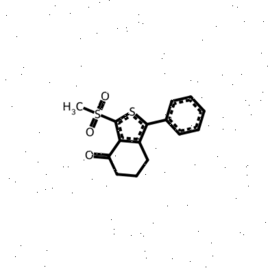 CS(=O)(=O)c1sc(-c2ccccc2)c2c1C(=O)CCC2